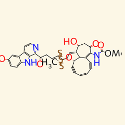 COC(=O)NC1=C2C#C/C=C\C#C[C@H](OCCCCC(=O)c3nccc4c3[nH]c3ccc(O)cc34)C2/C(=C\CS(C)(=S)=S)[C@@H](O)CC1=O